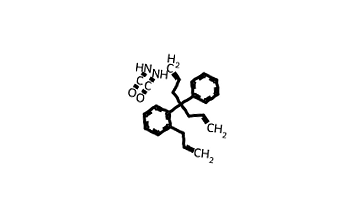 C=CCc1ccccc1C(CC=C)(CC=C)c1ccccc1.N=C=O.N=C=O